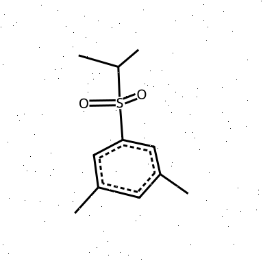 Cc1cc(C)cc(S(=O)(=O)C(C)C)c1